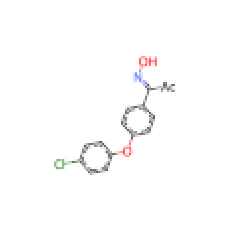 CC(=O)C(=NO)c1ccc(Oc2ccc(Cl)cc2)cc1